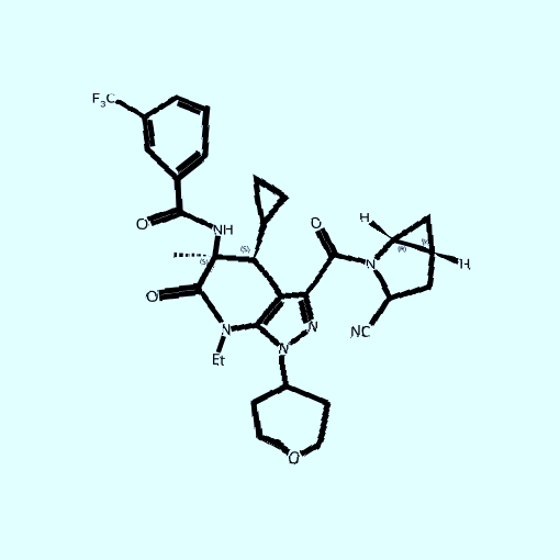 CCN1C(=O)[C@@](C)(NC(=O)c2cccc(C(F)(F)F)c2)[C@@H](C2CC2)c2c(C(=O)N3C(C#N)C[C@H]4C[C@H]43)nn(C3CCOCC3)c21